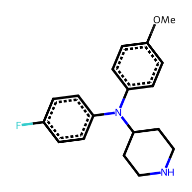 COc1ccc(N(c2ccc(F)cc2)C2CCNCC2)cc1